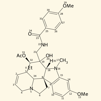 CC[C@]12C=CCN3CC[C@@]4(c5ccc(OC)cc5N(C)[C@H]4C(O)(CNC(=O)c4ccc(OC)cc4)[C@@H]1OC(C)=O)C32